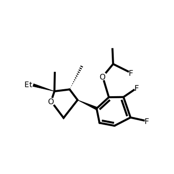 CC[C@]1(C)OC[C@H](c2ccc(F)c(F)c2OC(C)F)[C@H]1C